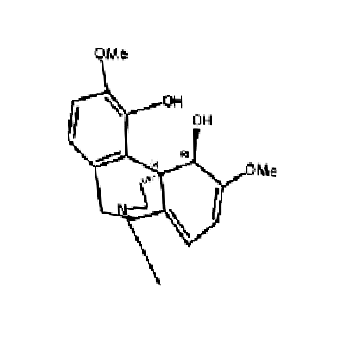 COC1=CC=C2C3Cc4ccc(OC)c(O)c4[C@@]2(CCN3C)[C@H]1O